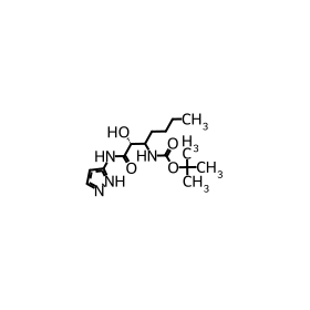 CCCCC(NC(=O)OC(C)(C)C)[C@@H](O)C(=O)Nc1ccn[nH]1